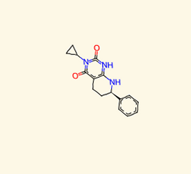 O=c1[nH]c2c(c(=O)n1C1CC1)CC[C@H](c1ccccc1)N2